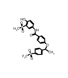 CC(Oc1ccc(C(=O)Nc2ccc(O)c(S(C)(=O)=O)c2)cc1)c1ccc(S(=O)(=O)C(F)(F)F)cc1